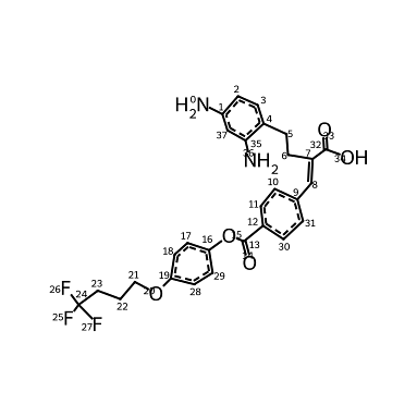 Nc1ccc(CC/C(=C\c2ccc(C(=O)Oc3ccc(OCCCC(F)(F)F)cc3)cc2)C(=O)O)c(N)c1